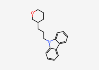 c1ccc2c(c1)c1ccccc1n2CCCC1CCCOC1